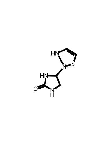 O=C1NCC(N2NC=CS2)N1